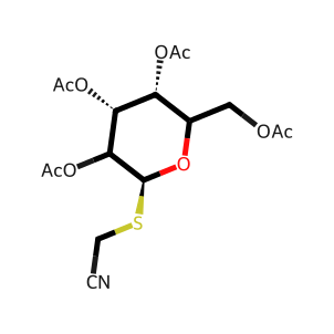 CC(=O)OCC1O[C@@H](SCC#N)C(OC(C)=O)[C@H](OC(C)=O)[C@@H]1OC(C)=O